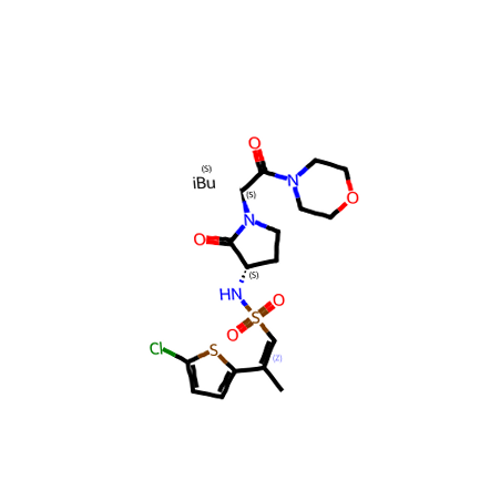 CC[C@H](C)[C@@H](C(=O)N1CCOCC1)N1CC[C@H](NS(=O)(=O)/C=C(/C)c2ccc(Cl)s2)C1=O